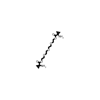 NC1(C(=O)OCCOCCOCCOCCOC(=O)C2(N)CC2)CC1